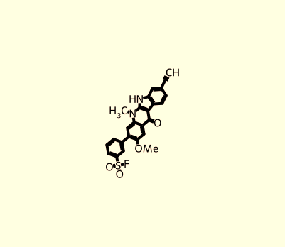 C#Cc1ccc2c(c1)[nH]c1c2c(=O)c2cc(OC)c(-c3cccc(S(=O)(=O)F)c3)cc2n1C